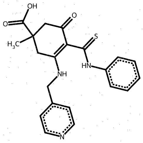 CC1(C(=O)O)CC(=O)C(C(=S)Nc2ccccc2)=C(NCc2ccncc2)C1